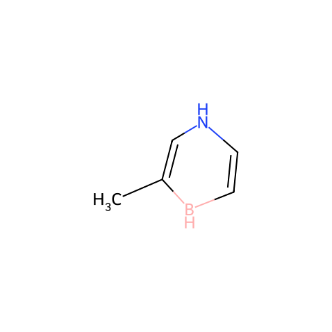 CC1=CNC=CB1